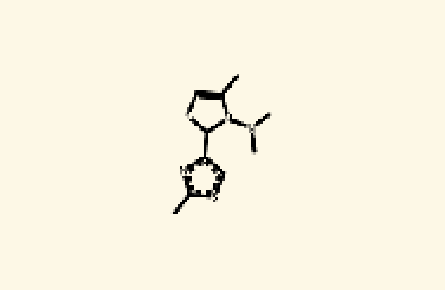 CC1=[C]SC(c2csc(C)n2)N1N(C)C